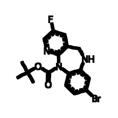 CC(C)(C)OC(=O)N1c2ccc(Br)cc2NCc2cc(F)cnc21